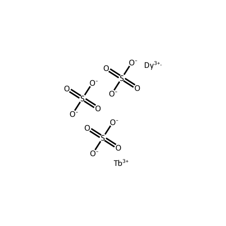 O=S(=O)([O-])[O-].O=S(=O)([O-])[O-].O=S(=O)([O-])[O-].[Dy+3].[Tb+3]